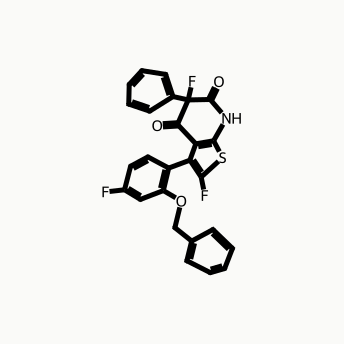 O=C1Nc2sc(F)c(-c3ccc(F)cc3OCc3ccccc3)c2C(=O)C1(F)c1ccccc1